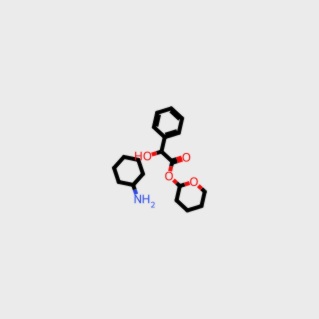 NC1CCCCC1.O=C(OC1CCCCO1)C(O)c1ccccc1